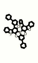 c1ccc(-c2cc3c4c(c2)Oc2c(c5oc6ccc(-c7ccccc7)cc6c5c5c2sc2ccccc25)B4c2c(c4oc5ccccc5c4c4c2sc2ccccc24)O3)cc1